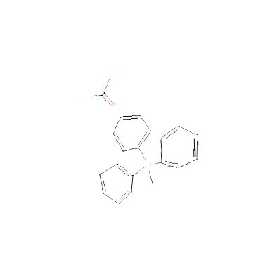 C[PH](c1ccccc1)(c1ccccc1)c1ccccc1.O=C(O)O